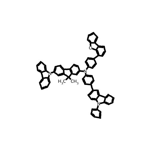 CC1(C)c2cc(N(c3ccc(-c4ccc5c(c4)c4ccccc4n5-c4ccccc4)cc3)c3ccc(-c4cccc5c4oc4ccccc45)cc3)ccc2-c2ccc(-n3c4ccccc4c4ccccc43)cc21